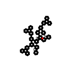 c1cc(-c2ccc(-c3ccc4c5ccccc5c5ccccc5c4c3)cc2-c2ccc(-n3c4ccccc4c4ccccc43)cc2)cc(-c2cccc3c2sc2c(-c4cc(-c5ccc6c7ccccc7c7ccccc7c6c5)ccc4-c4cc(-c5ccc6c7ccccc7c7ccccc7c6c5)cc(-c5cccc6c5sc5ccccc56)c4)cccc23)c1